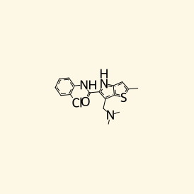 Cc1cc2[nH]c(C(=O)Nc3ccccc3Cl)c(CN(C)C)c2s1